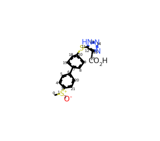 C[S+]([O-])c1ccc(-c2ccc(Sc3[nH]nnc3C(=O)O)cc2)cc1